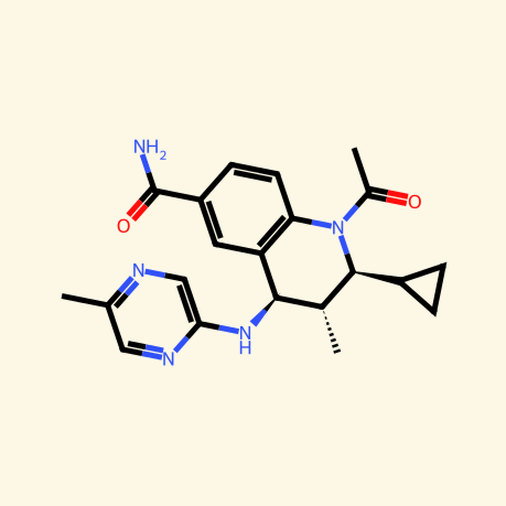 CC(=O)N1c2ccc(C(N)=O)cc2[C@H](Nc2cnc(C)cn2)[C@@H](C)[C@@H]1C1CC1